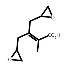 CC(C(=O)O)=C(CC1CO1)CC1CO1